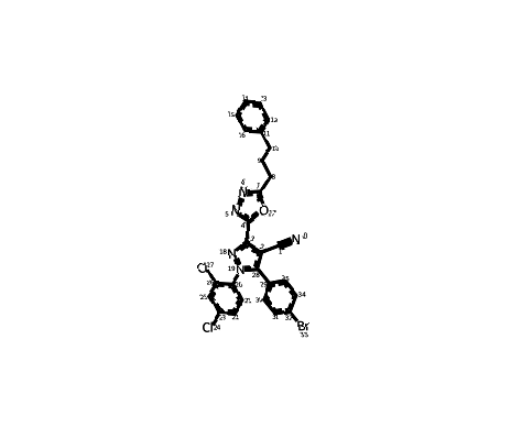 N#Cc1c(-c2nnc(CCCc3ccccc3)o2)nn(-c2ccc(Cl)cc2Cl)c1-c1ccc(Br)cc1